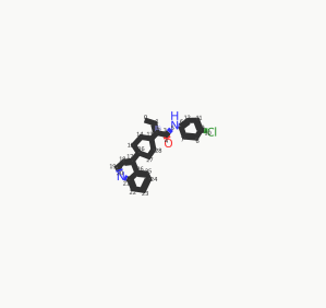 C/C=C(/C(=O)Nc1ccc(Cl)cc1)C1CCC(c2ccnc3ccccc23)CC1